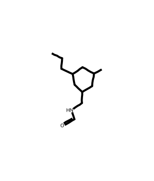 CCCC1CC(C)CC(CNC=O)C1